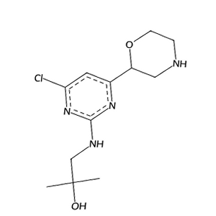 CC(C)(O)CNc1nc(Cl)cc(C2CNCCO2)n1